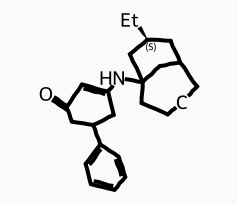 CC[C@H]1CC2CCCCC(NC3=CC(=O)CC(c4ccccc4)C3)(C2)C1